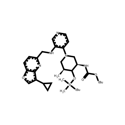 C[C@H]1CN(c2ccncc2NCc2ccc3occ(C4CC4)c3n2)C[C@@H](NC(=O)OC(C)(C)C)C1O[Si](C)(C)C(C)(C)C